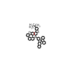 CC(C)(C)c1ccc2sc3cc(N(c4ccc5c(c4)-c4cc6ccccc6cc4C54c5ccccc5-c5ccccc54)c4ccc5ccccc5c4-c4cccc5oc6ccccc6c45)ccc3c2c1